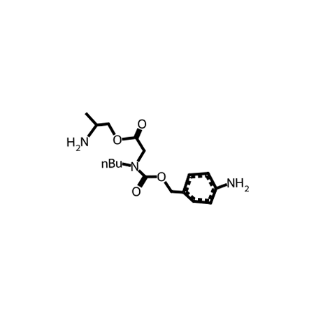 CCCCN(CC(=O)OCC(C)N)C(=O)OCc1ccc(N)cc1